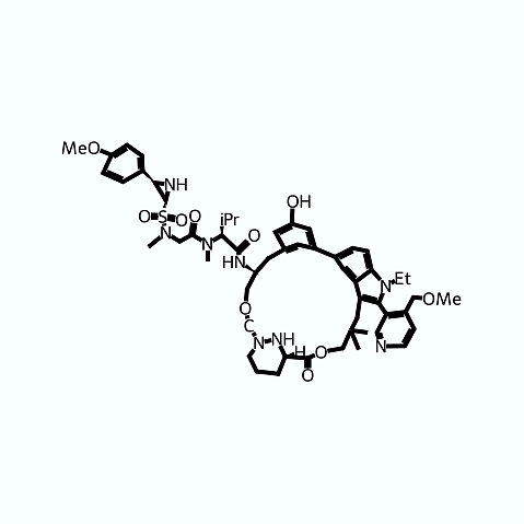 CCn1c(-c2cnccc2COC)c2c3cc(ccc31)-c1cc(O)cc(c1)C[C@H](NC(=O)[C@H](C(C)C)N(C)C(=O)CN(C)S(=O)(=O)[C@H]1N[C@@H]1c1ccc(OC)cc1)COCN1CCC[C@H](N1)C(=O)OCC(C)(C)C2